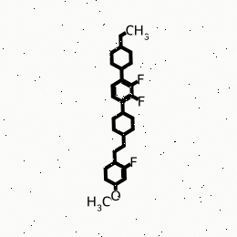 CCC1CCC(c2ccc(C3CCC(CCC4CCC(OC)C=C4F)CC3)c(F)c2F)CC1